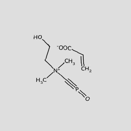 C=CC(=O)[O-].C[N+](C)(C#P=O)CCO